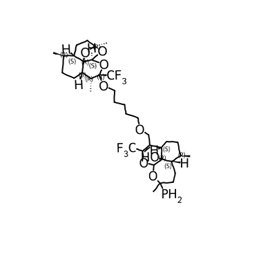 C[C@@H]1CC[C@H]2C(COCCCCCO[C@@]3(C(F)(F)F)O[C@@H]4O[C@]5(C)CC[C@H]6[C@H](C)CC[C@@H]([C@H]3C)[C@@]46O5)=C(C(F)(F)F)OC3OC(C)(P)CC[C@@H]1[C@]32O